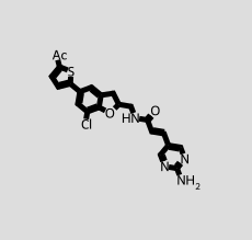 CC(=O)c1ccc(-c2cc(Cl)c3c(c2)CC(CNC(=O)C=Cc2cnc(N)nc2)O3)s1